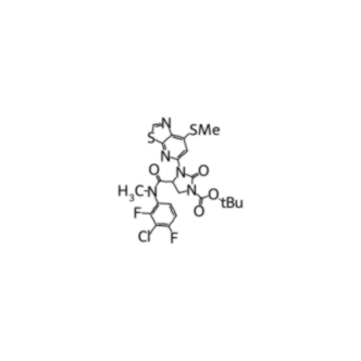 CSc1cc(N2C(=O)N(C(=O)OC(C)(C)C)CC2C(=O)N(C)c2ccc(F)c(Cl)c2F)nc2scnc12